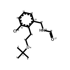 CC(C)(C)OCCc1c(Cl)cccc1CNC=O